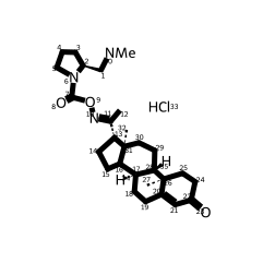 CNC[C@@H]1CCCN1C(=O)O/N=C(\C)[C@H]1CCC2[C@@H]3CCC4=CC(=O)CC[C@]4(C)[C@H]3CC[C@@]21C.Cl